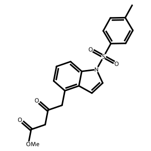 COC(=O)CC(=O)Cc1cccc2c1ccn2S(=O)(=O)c1ccc(C)cc1